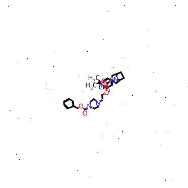 CC(C)(C)OC(=O)N1CC2CCC(C1)N2c1ccnc(OCCN2CCN(C(=O)OCc3ccccc3)CC2)c1